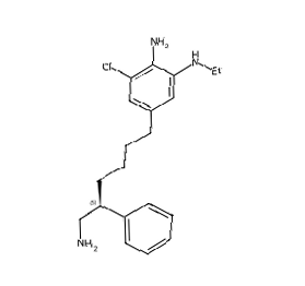 CCNc1cc(CCCC[C@H](CN)c2ccccc2)cc(Cl)c1N